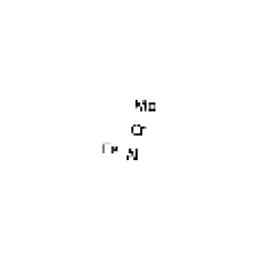 [Al].[Cr].[Fe].[Mo]